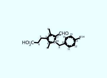 Cc1c(CCC(=O)O)c(C)n(Cc2ccc(F)cc2)c1C=O